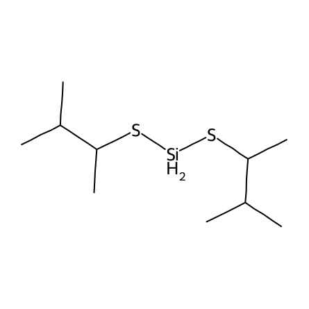 CC(C)C(C)S[SiH2]SC(C)C(C)C